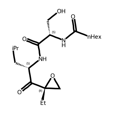 CCCCCCC(=O)N[C@@H](CO)C(=O)N[C@@H](CC(C)C)C(=O)[C@@]1(CC)CO1